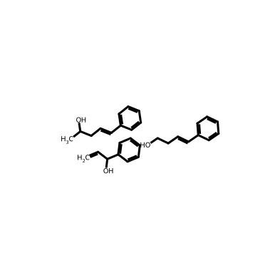 C=CC(O)c1ccccc1.CC(O)CC=Cc1ccccc1.OCCC=Cc1ccccc1